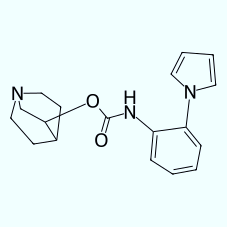 O=C(Nc1ccccc1-n1cccc1)OC1CN2CCC1CC2